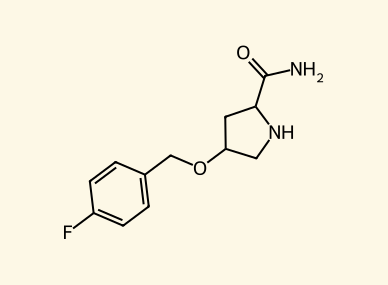 NC(=O)C1CC(OCc2ccc(F)cc2)CN1